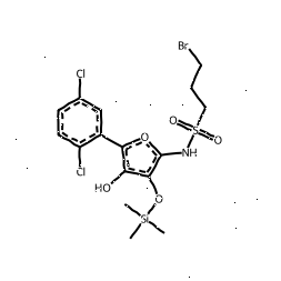 C[Si](C)(C)Oc1c(NS(=O)(=O)CCCBr)oc(-c2cc(Cl)ccc2Cl)c1O